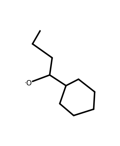 CCCC([O])C1CCCCC1